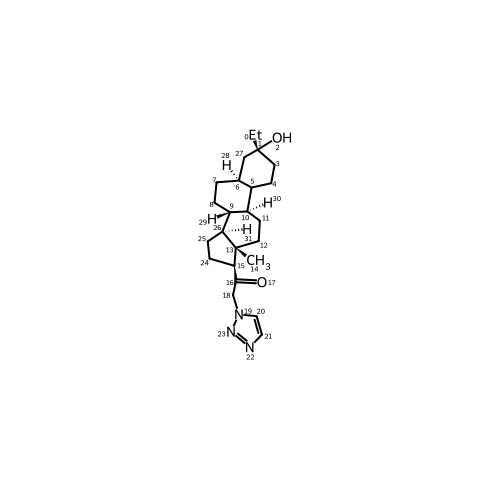 CC[C@@]1(O)CCC2[C@@H](CC[C@@H]3[C@@H]2CC[C@]2(C)[C@@H](C(=O)Cn4ccnn4)CC[C@@H]32)C1